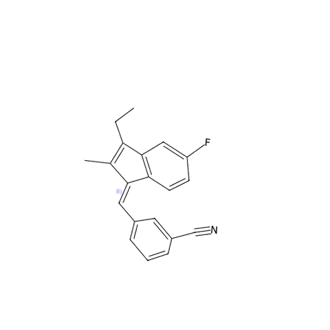 CCC1=C(C)/C(=C/c2cccc(C#N)c2)c2ccc(F)cc21